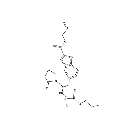 C=CCOC(=O)c1cc2cc(CP(N[C@@H](C)C(=O)OCCC)N3CCCC3=O)ccc2s1